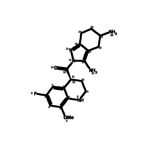 COc1cc(F)cc2c1NCC[C@@H]2C(=O)n1nc2c(c1N)CC(N)CC2